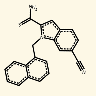 N#Cc1ccc2cc(C(N)=S)n(Cc3cccc4ccccc34)c2c1